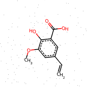 C=Cc1cc(OC)c(O)c(C(=O)O)c1